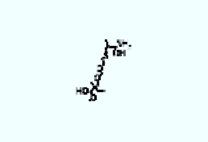 CCC(C)(COCOCCSCC(C)C(N)O)C(O)OC